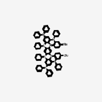 CC(C)(C)c1ccc2c(c1)N(c1ccccc1)c1cc(N(c3ccccc3)c3ccccc3)cc3c1B2c1cc2c(cc1N3c1ccccc1)N(c1ccccc1)c1cc(N(c3ccccc3)c3ccccc3)cc3c1B2c1ccc(C(C)(C)C)cc1N3c1ccccc1